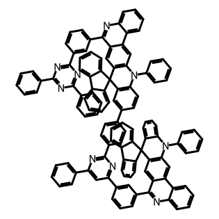 c1ccc(-c2cc(-c3cccc(-c4nc5ccccc5c5cc6c(cc45)C4(c5ccccc5-c5ccccc54)c4ccccc4N6c4ccccc4)c3)nc(-c3ccc(-c4ccc5c(c4)C4(c6ccccc6-c6ccccc64)c4cc6c(-c7cccc(-c8nc(-c9ccccc9)nc(-c9ccccc9)n8)c7)nc7ccccc7c6cc4N5c4ccccc4)cc3)n2)cc1